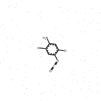 O=C=Nc1cc(Cl)c([N+](=O)[O-])cc1Cl